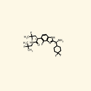 CC(C)(F)CNC(=O)[C@@H](CC(C)(F)F)c1ccc2[nH]c([C@@H](N)C3CCC(F)(F)CC3)nc2c1F